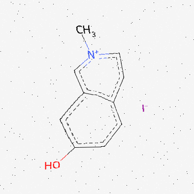 C[n+]1ccc2ccc(O)cc2c1.[I-]